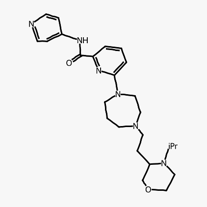 CC(C)N1CCOCC1CCN1CCCN(c2cccc(C(=O)Nc3ccncc3)n2)CC1